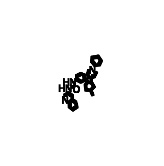 CC1CCC(c2cccc(NC(=O)Nc3cnc4ccccc4c3)c2)(N2CCN(c3ccccc3)CC2)CC1